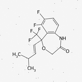 CC(C)C=CC1(C(F)(F)F)OCC(=O)Nc2ccc(F)c(F)c21